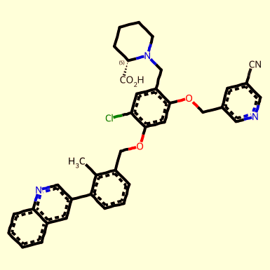 Cc1c(COc2cc(OCc3cncc(C#N)c3)c(CN3CCCC[C@H]3C(=O)O)cc2Cl)cccc1-c1cnc2ccccc2c1